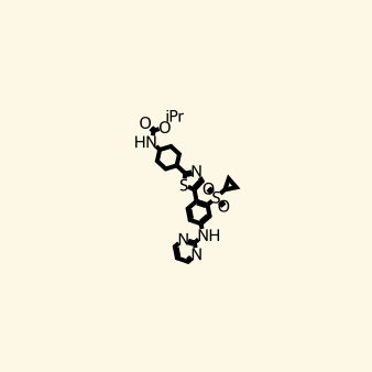 CC(C)OC(=O)NC1CCC(c2ncc(-c3ccc(Nc4ncccn4)cc3S(=O)(=O)C3CC3)s2)CC1